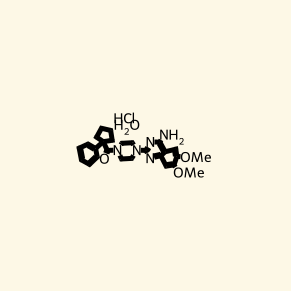 COc1cc2nc(N3CCN(C(=O)C4(c5ccccc5)CCCC4)CC3)nc(N)c2cc1OC.Cl.O